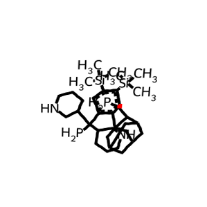 C[Si](C)(C)c1cc(C23CC4CC(CC(C4)C2CP)C3)c(C(P)(C2CCCNC2)C2CCCNC2)cc1[Si](C)(C)C